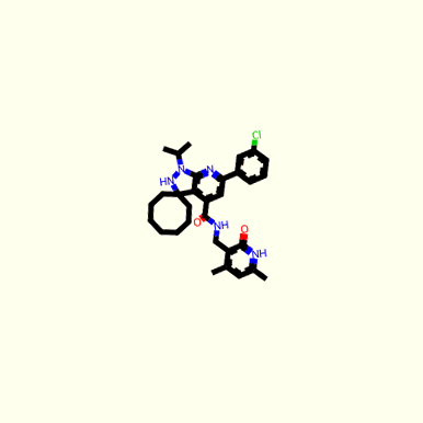 Cc1cc(C)c(CNC(=O)c2cc(-c3cccc(Cl)c3)nc3c2C2(CCCCCCC2)NN3C(C)C)c(=O)[nH]1